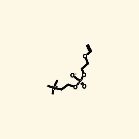 C=COCCOP(=O)([O-])OCC[N+](C)(C)C